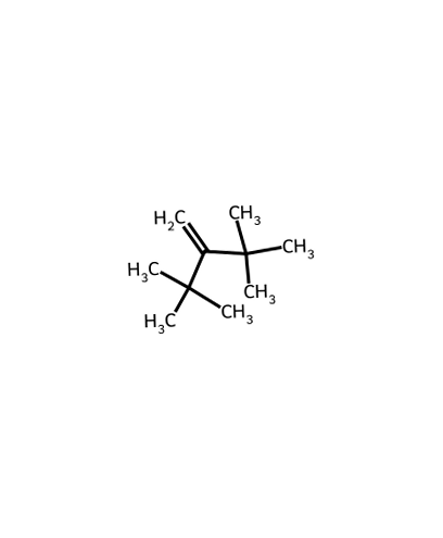 C=C(C(C)(C)C)C(C)(C)C